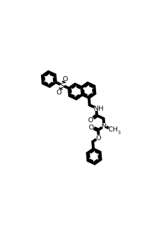 CN(CC(=O)NCc1cccc2cc(S(=O)(=O)c3ccccc3)ccc12)C(=O)OCc1ccccc1